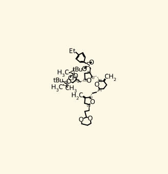 C=C1C[C@H](CCC2OCCCO2)O[C@H]1CC[C@H]1CCC(=C)[C@@H](C[C@@H]2O[C@H](C[C@@H](CO[Si](C)(C)C(C)(C)C)O[Si](C)(C)C(C)(C)C)C[C@H]2CS(=O)(=O)c2ccc(CC)cc2)O1